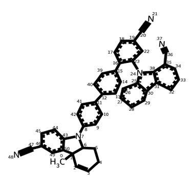 CC12C=CCCC1N(c1ccc(-c3ccc(-c4ccc(C#N)cc4-n4c5ccccc5c5cccc(C#N)c54)cc3)cc1)c1ccc(C#N)cc12